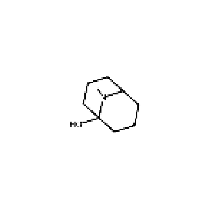 CN1C2CCCC1(O)CCC2